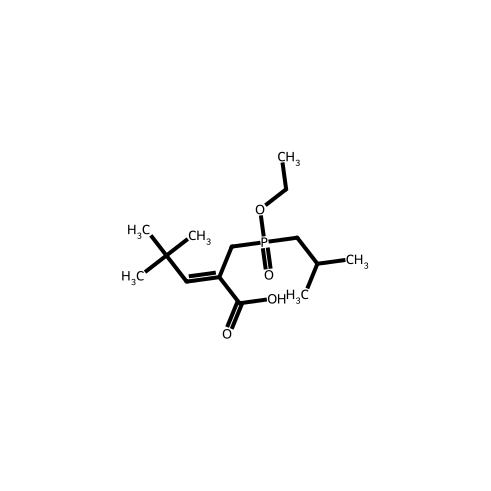 CCOP(=O)(C/C(=C\C(C)(C)C)C(=O)O)CC(C)C